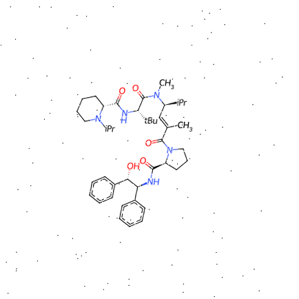 C/C(=C\[C@H](C(C)C)N(C)C(=O)[C@@H](NC(=O)[C@H]1CCCCN1C(C)C)C(C)(C)C)C(=O)N1CCC[C@H]1C(=O)N[C@@H](c1ccccc1)[C@@H](O)c1ccccc1